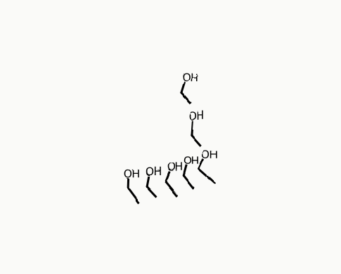 CCO.CCO.CCO.CCO.CCO.CCO.CCO